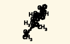 CCOC(=O)CCCCCOc1cc(C)ccc1N(C)C(=O)c1ccc(-c2cccc3[nH]c(CN4C(=O)c5ccccc5C4=O)nc23)c(OC)c1N=C=O